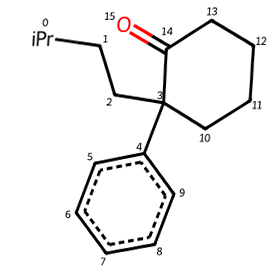 CC(C)CCC1(c2ccccc2)CCCCC1=O